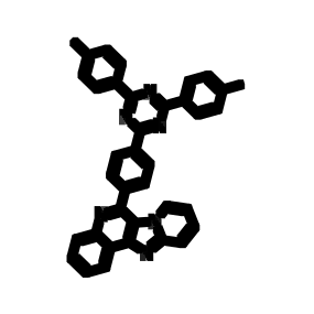 Cc1ccc(-c2nc(-c3ccc(C)cc3)nc(-c3ccc(-c4nc5ccccc5c5nc6ccccn6c45)cc3)n2)cc1